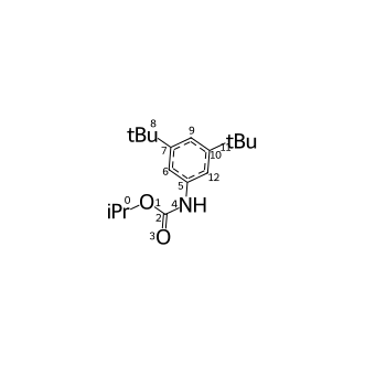 CC(C)OC(=O)Nc1cc(C(C)(C)C)cc(C(C)(C)C)c1